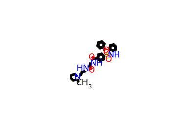 CC1CCCCN1CCCNC(=O)CNC(=O)c1ccc(S(=O)(=O)Nc2ccccc2Oc2ccccc2)cc1